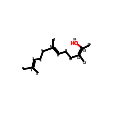 CC(C)=CCCC(C)=CCCC(C)=C(C)O